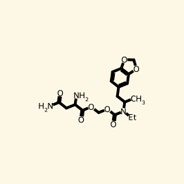 CCN(C(=O)OCOC(=O)C(N)CC(N)=O)C(C)Cc1ccc2c(c1)OCO2